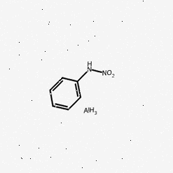 O=[N+]([O-])Nc1ccccc1.[AlH3]